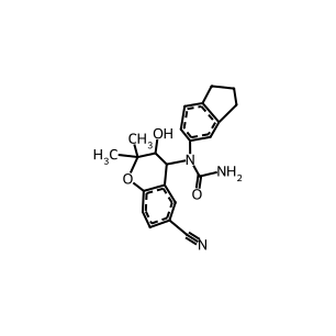 CC1(C)Oc2ccc(C#N)cc2C(N(C(N)=O)c2ccc3c(c2)CCC3)C1O